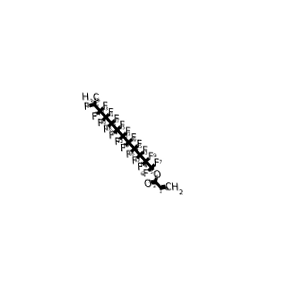 C=CC(=O)OC(F)(F)C(F)(F)C(F)(F)C(F)(F)C(F)(F)C(F)(F)C(F)(F)C(F)(F)C(F)(F)C(F)(F)C(C)F